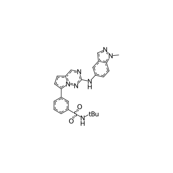 Cn1ncc2cc(Nc3ncc4ccc(-c5cccc(S(=O)(=O)NC(C)(C)C)c5)n4n3)ccc21